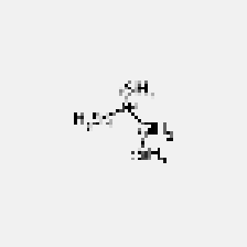 [SiH3][SiH2]N([SiH3])[SiH3]